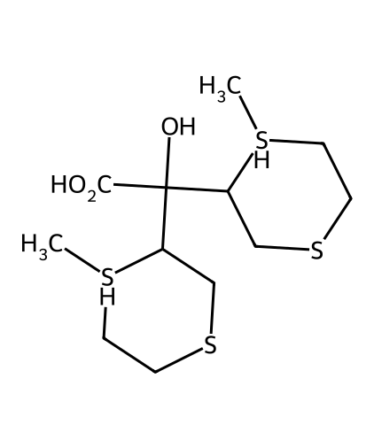 C[SH]1CCSCC1C(O)(C(=O)O)C1CSCC[SH]1C